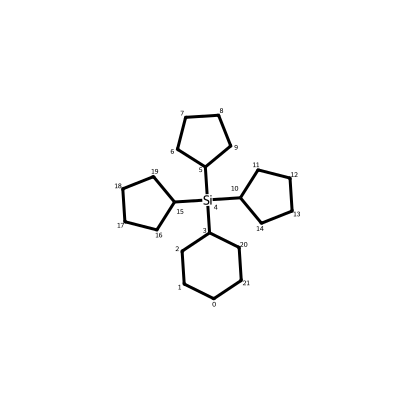 C1CCC([Si](C2CCCC2)(C2CCCC2)C2CCCC2)CC1